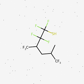 CC(CC(C(F)(F)F)C(F)(F)C(F)(F)S)C(F)(F)F